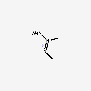 C/N=[N+](\C)NC